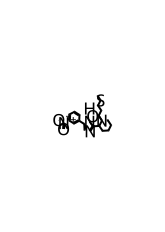 CSCCC(=O)N1CCCCC1c1ncc(-c2cccc([N+](=O)[O-])c2)[nH]1